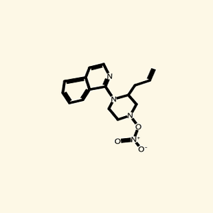 C=CCC1CN(O[N+](=O)[O-])CCN1c1nccc2ccccc12